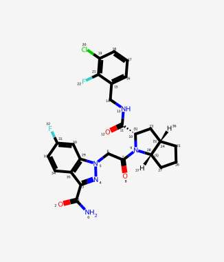 NC(=O)c1nn(CC(=O)N2[C@H](C(=O)NCc3cccc(Cl)c3F)C[C@@H]3CCC[C@@H]32)c2cc(F)ccc12